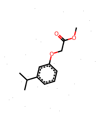 COC(=O)COc1cccc(C(C)C)c1